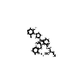 Cc1cccc(F)c1N1CC[C@@H](n2c(=O)n(Cc3ccccc3C(F)(F)F)c3c(OCC(O)CO)nccc32)C1